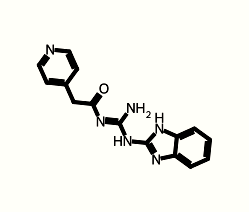 N/C(=N\C(=O)Cc1ccncc1)Nc1nc2ccccc2[nH]1